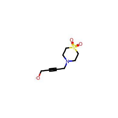 [O]CC#CCN1CCS(=O)(=O)CC1